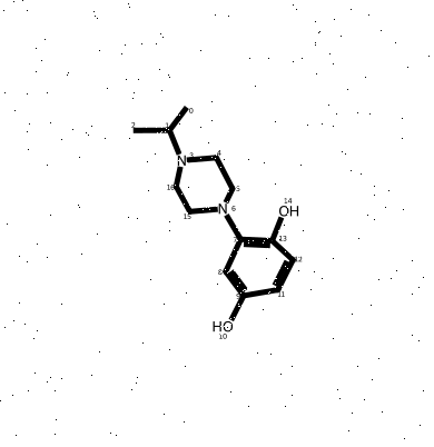 CC(C)N1CCN(c2cc(O)ccc2O)CC1